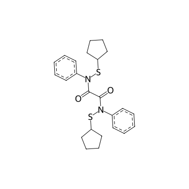 O=C(C(=O)N(SC1CCCC1)c1ccccc1)N(SC1CCCC1)c1ccccc1